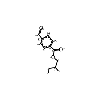 CCC(C)COC(=O)c1ccc(C=O)cc1